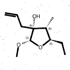 C=CC[C@]1(O)[C@@H](OC)O[C@H](CC)[C@H]1C